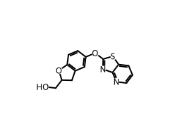 OCC1Cc2cc(Oc3nc4ncccc4s3)ccc2O1